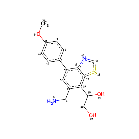 NCc1cc(-c2ccc(OC(F)(F)F)cc2)c2ncsc2c1C(O)CO